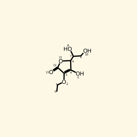 CCOC1=C(O)C(C(O)CO)OC1=O